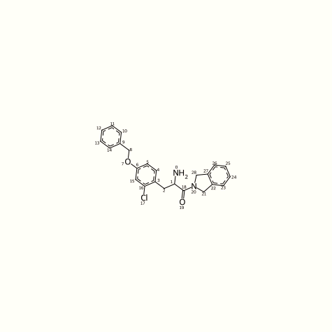 NC(Cc1ccc(OCc2ccccc2)cc1Cl)C(=O)N1Cc2ccccc2C1